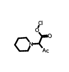 CC(=O)C(C(=O)OCl)N1CCCCC1